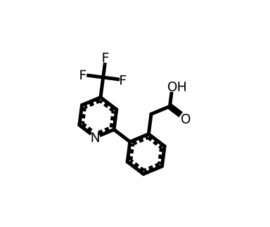 O=C(O)Cc1ccccc1-c1cc(C(F)(F)F)ccn1